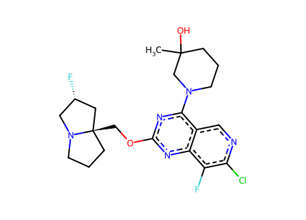 CC1(O)CCCN(c2nc(OC[C@@]34CCCN3C[C@H](F)C4)nc3c(F)c(Cl)ncc23)C1